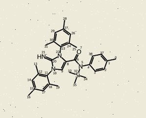 Cc1ccc(N(C(=O)c2cn(-c3c(C)cc(C)cc3C)c(=N)n2-c2c(C)cc(C)cc2C)[Si](C)(C)C)cc1